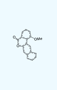 COc1cccc2c(=O)oc3cc4ccccc4cc3c12